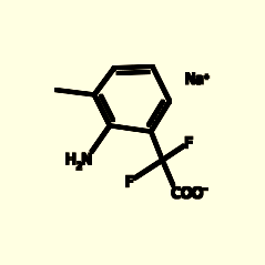 Cc1cccc(C(F)(F)C(=O)[O-])c1N.[Na+]